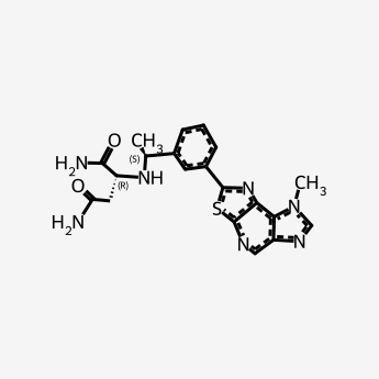 C[C@H](N[C@H](CC(N)=O)C(N)=O)c1cccc(-c2nc3c(ncc4ncn(C)c43)s2)c1